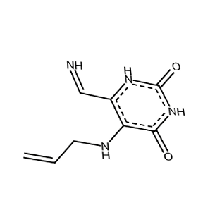 C=CCNc1c(C=N)[nH]c(=O)[nH]c1=O